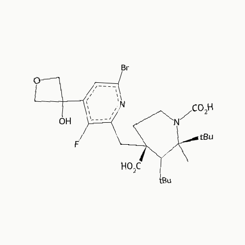 CC(C)(C)C1[C@@](Cc2nc(Br)cc(C3(O)COC3)c2F)(C(=O)O)CCN(C(=O)O)[C@@]1(C)C(C)(C)C